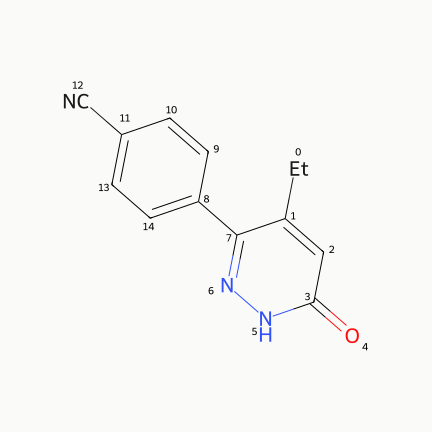 CCc1cc(=O)[nH]nc1-c1ccc(C#N)cc1